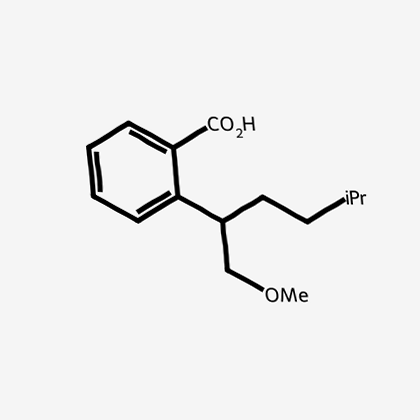 COCC(CCC(C)C)c1ccccc1C(=O)O